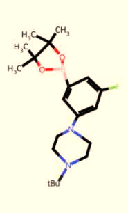 CC(C)(C)N1CCN(c2cc(F)cc(B3OC(C)(C)C(C)(C)O3)c2)CC1